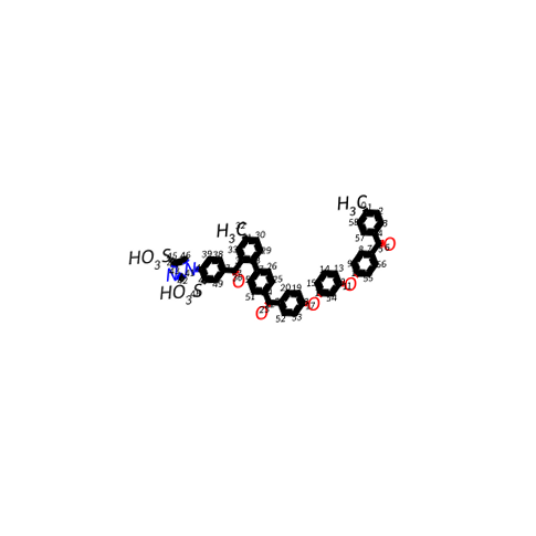 Cc1ccc(C(=O)c2ccc(Oc3cccc(Oc4ccc(C(=O)c5ccc(-c6ccc(C)cc6C(=O)c6ccc(-n7cnc(S(=O)(=O)O)c7)c(S(=O)(=O)O)c6)cc5)cc4)c3)cc2)cc1